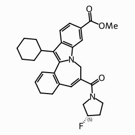 COC(=O)c1ccc2c(C3CCCCC3)c3n(c2c1)CC(C(=O)N1CC[C@H](F)C1)=CC1=C3C=CCC1